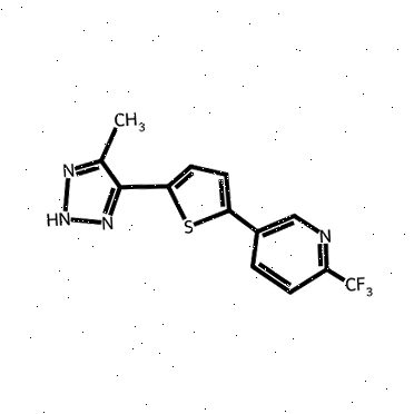 Cc1n[nH]nc1-c1ccc(-c2ccc(C(F)(F)F)nc2)s1